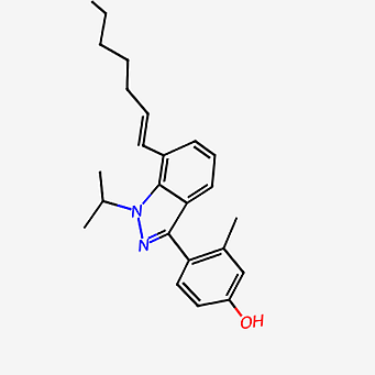 CCCCCC=Cc1cccc2c(-c3ccc(O)cc3C)nn(C(C)C)c12